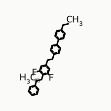 CCCc1ccc(-c2ccc(CCc3cc(F)c(C[C@H](C)c4ccccc4)c(F)c3)cc2)cc1